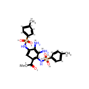 COC(=O)c1cc(NS(=O)(=O)c2ccc(C)cc2)c(N)c(N)c1NS(=O)(=O)c1ccc(C)cc1